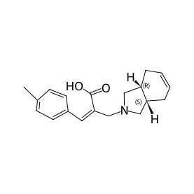 Cc1ccc(C=C(CN2C[C@H]3CC=CC[C@H]3C2)C(=O)O)cc1